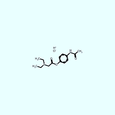 CCN(CC)CC(=O)Oc1ccc(NC(C)=O)cc1.[Cl-].[H+]